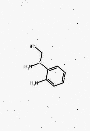 CC(C)CN(N)c1ccccc1N